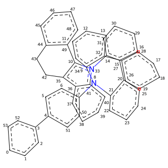 c1ccc(-c2ccc(N(c3ccccc3-c3ccccc3)c3ccccc3-c3ccccc3-n3c4c(c5ccccc53)CCc3ccccc3-4)cc2)cc1